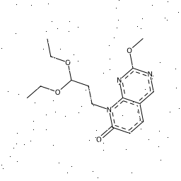 CCOC(CCn1c(=O)ccc2cnc(OC)nc21)OCC